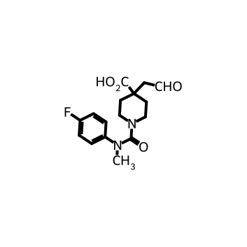 CN(C(=O)N1CCC(CC=O)(C(=O)O)CC1)c1ccc(F)cc1